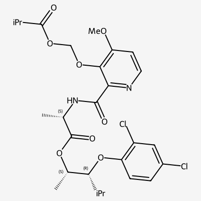 COc1ccnc(C(=O)N[C@@H](C)C(=O)O[C@@H](C)[C@H](Oc2ccc(Cl)cc2Cl)C(C)C)c1OCOC(=O)C(C)C